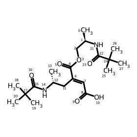 C[C@H](COC(=O)C(=CC(=O)O)C[C@@H](C)NC(=O)C(C)(C)C)NC(=O)C(C)(C)C